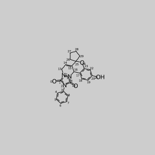 O=c1n(-c2ccccc2)c(=O)n2n1CC=C1C2c2ccc(O)cc2OC12CCCC2